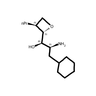 CCC[C@H]1CO[C@@H]1[C@H](O)[C@@H](N)CC1CCCCC1